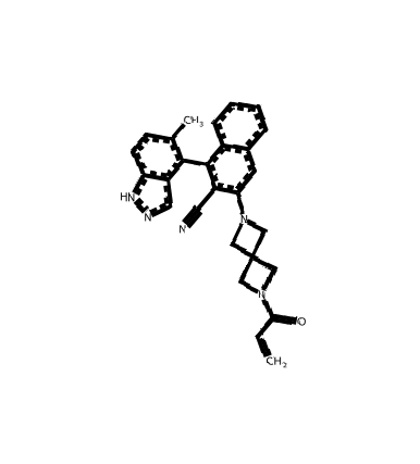 C=CC(=O)N1CC2(C1)CN(c1cc3ccccc3c(-c3c(C)ccc4[nH]ncc34)c1C#N)C2